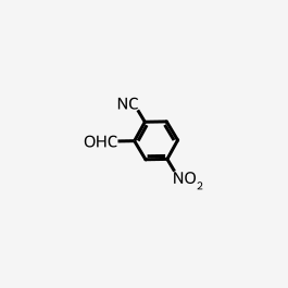 N#Cc1ccc([N+](=O)[O-])cc1C=O